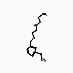 COc1cccc(COCCNCCN)c1